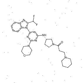 O=C(CCN1CCCCC1)N1CC[C@H](Nc2cc(-n3c(C(F)F)nc4ccccc43)nc(N3CCOCC3)n2)C1